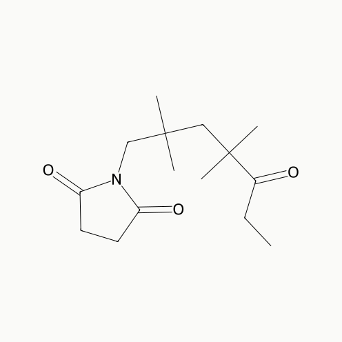 CCC(=O)C(C)(C)CC(C)(C)CN1C(=O)CCC1=O